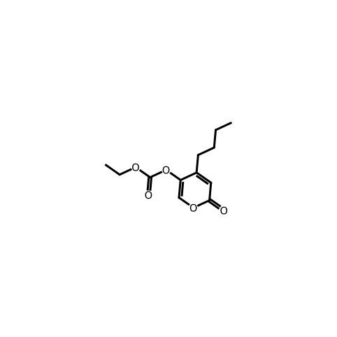 CCCCc1cc(=O)occ1OC(=O)OCC